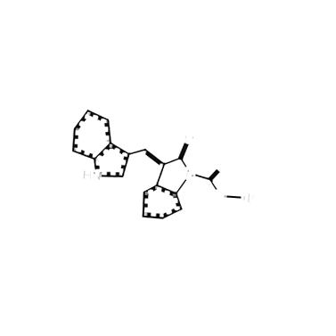 CC(C)(C)OC(=O)N1C(=O)/C(=C/c2c[nH]c3ccccc23)c2ccccc21